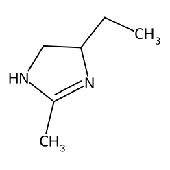 CCC1CNC(C)=N1